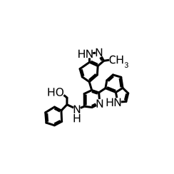 Cc1n[nH]c2ccc(-c3cc(NC(CO)c4ccccc4)cnc3-c3cccc4cc[nH]c34)cc12